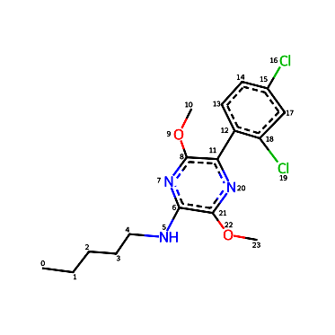 CCCCCNc1nc(OC)c(-c2ccc(Cl)cc2Cl)nc1OC